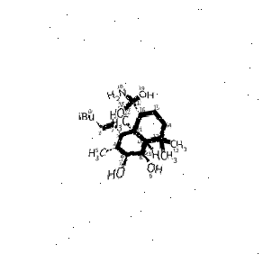 CC[C@@H](C)CC[C@H]1[C@@H](C)[C@H](O)[C@H](O)[C@H]2C(C)(C)CC[C@@H](C(N)(O)O)[C@]12C